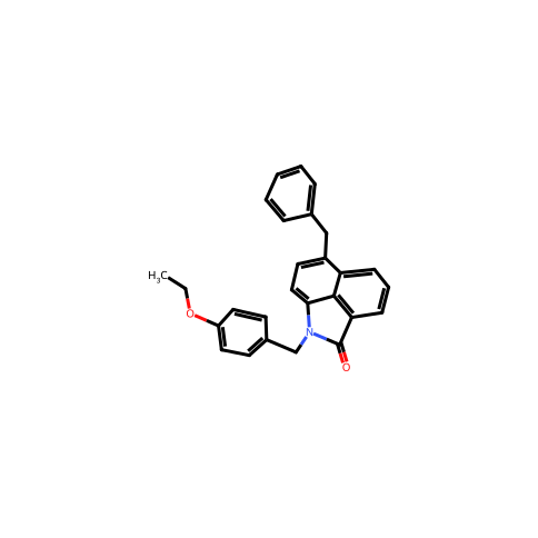 CCOc1ccc(CN2C(=O)c3cccc4c(Cc5ccccc5)ccc2c34)cc1